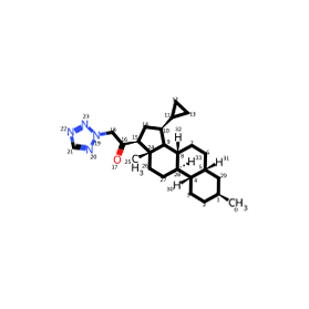 C[C@H]1CC[C@H]2[C@H](CC[C@H]3C4[C@H](C5CC5)C[C@H](C(=O)Cn5ncnn5)[C@@]4(C)CC[C@H]23)C1